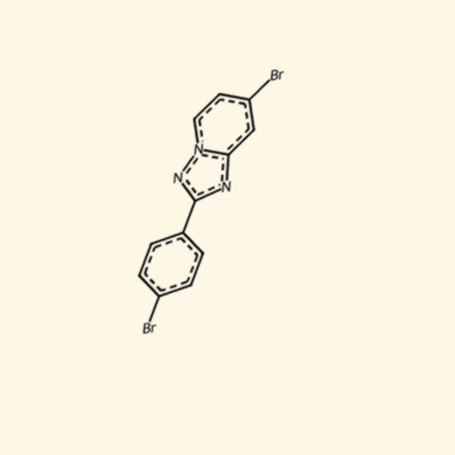 Brc1ccc(-c2nc3cc(Br)ccn3n2)cc1